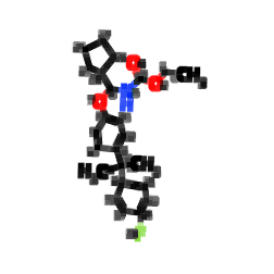 CCOC(=O)NC(Oc1ccc(C(C)(C)c2ccc(F)cc2)cc1)C1CCCC1